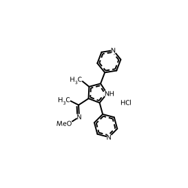 CON=C(C)c1c(-c2ccncc2)[nH]c(-c2ccncc2)c1C.Cl